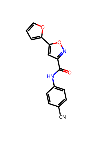 N#Cc1ccc(NC(=O)c2cc(-c3ccco3)on2)cc1